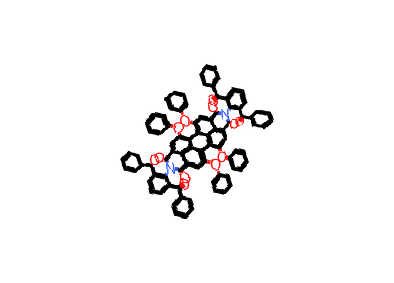 O=C(c1ccccc1)c1cccc(C(=O)c2ccccc2)c1N1C(=O)c2cc(Oc3ccccc3)c3c4c(Oc5ccccc5)cc5c6c(cc(Oc7ccccc7)c(c7c(Oc8ccccc8)cc(c2c37)C1=O)c64)C(=O)N(c1c(C(=O)c2ccccc2)cccc1C(=O)c1ccccc1)C5=O